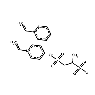 C=C[n+]1ccccc1.C=C[n+]1ccccc1.CC(CS(=O)(=O)[O-])S(=O)(=O)[O-]